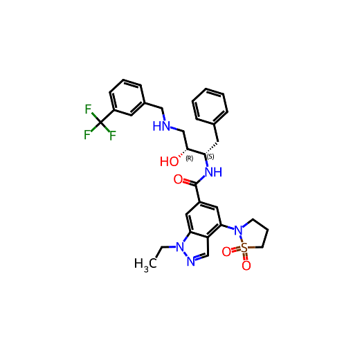 CCn1ncc2c(N3CCCS3(=O)=O)cc(C(=O)N[C@@H](Cc3ccccc3)[C@H](O)CNCc3cccc(C(F)(F)F)c3)cc21